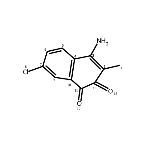 CC1=C(N)c2ccc(Cl)cc2C(=O)C1=O